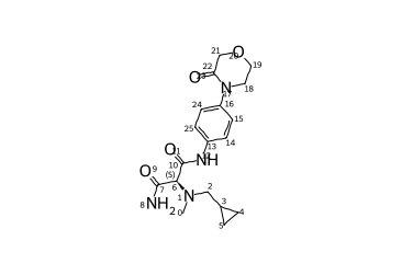 CN(CC1CC1)[C@@H](C(N)=O)C(=O)Nc1ccc(N2CCOCC2=O)cc1